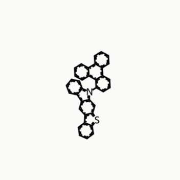 c1ccc2c(c1)sc1cc3c(cc12)c1ccccc1n3-c1cccc2c3ccccc3c3ccccc3c12